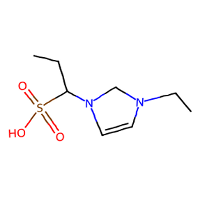 CCC(N1C=CN(CC)C1)S(=O)(=O)O